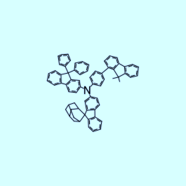 CC1(C)c2ccccc2-c2cccc(-c3ccc(N(c4ccc5c(c4)C(c4ccccc4)(c4ccccc4)c4ccccc4-5)c4ccc5c(c4)C4(c6ccccc6-5)C5CC6CC(C5)CC4C6)cc3)c21